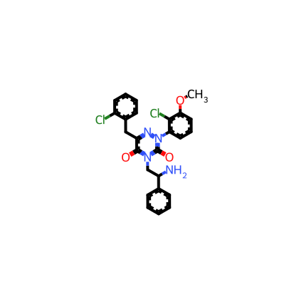 COc1cccc(-n2nc(Cc3ccccc3Cl)c(=O)n(CC(N)c3ccccc3)c2=O)c1Cl